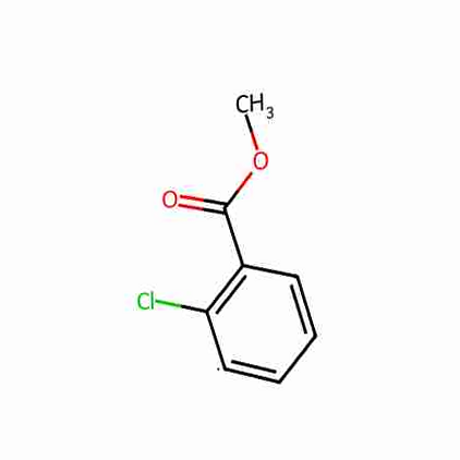 COC(=O)c1ccc[c]c1Cl